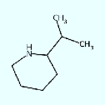 CC(C)C1CCCCN1